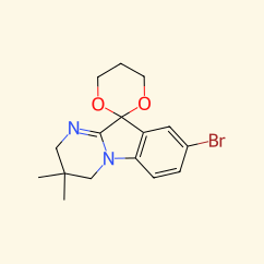 CC1(C)CN=C2N(C1)c1ccc(Br)cc1C21OCCCO1